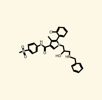 Cc1c(C(=O)Nc2ccc(S(C)(=O)=O)cc2)cn(CC(O)CNCc2ccccc2)c1-c1ccccc1Cl